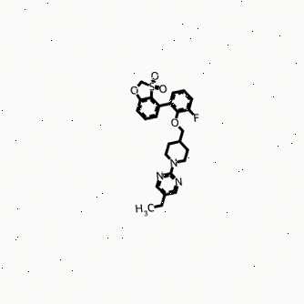 CCc1cnc(N2CCC(COc3c(F)cccc3-c3cccc4c3S(=O)(=O)CO4)CC2)nc1